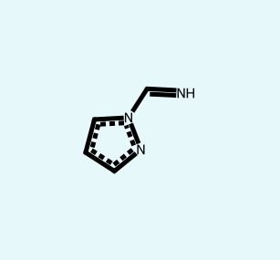 N=Cn1cccn1